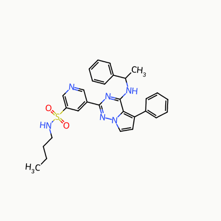 CCCCNS(=O)(=O)c1cncc(-c2nc(NC(C)c3ccccc3)c3c(-c4ccccc4)ccn3n2)c1